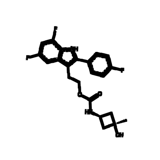 C[C@]1(O)C[C@@H](NC(=O)OCCc2c(-c3ccc(F)cc3)[nH]c3c(F)cc(F)cc23)C1